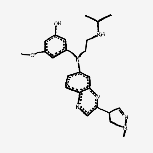 COc1cc(O)cc(N(CCNC(C)C)c2ccc3ncc(C4C=NN(C)C4)nc3c2)c1